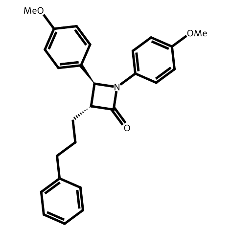 COc1ccc([C@@H]2[C@@H](CCCc3ccccc3)C(=O)N2c2ccc(OC)cc2)cc1